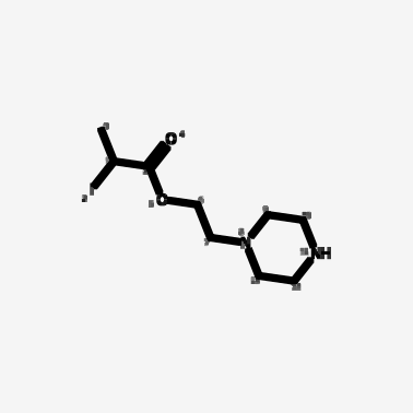 CC(I)C(=O)OCCN1CCNCC1